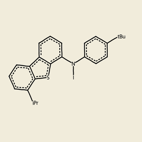 CC(C)c1cccc2c1sc1c(N(I)c3ccc(C(C)(C)C)cc3)cccc12